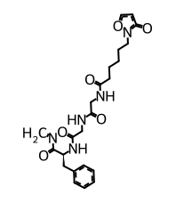 C=NC(=O)[C@H](Cc1ccccc1)NC(=O)CNC(=O)CNC(=O)CCCCCn1occc1=O